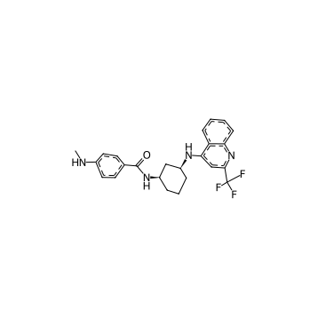 CNc1ccc(C(=O)N[C@@H]2CCC[C@H](Nc3cc(C(F)(F)F)nc4ccccc34)C2)cc1